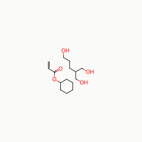 C=CC(=O)OC1CCCCC1.OCCCC(CO)CO